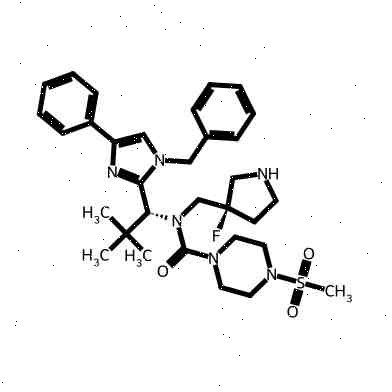 CC(C)(C)[C@H](c1nc(-c2ccccc2)cn1Cc1ccccc1)N(C[C@@]1(F)CCNC1)C(=O)N1CCN(S(C)(=O)=O)CC1